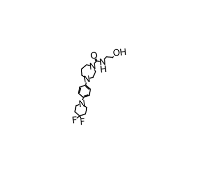 O=C(NCCO)N1CCCN(c2ccc(N3CCC(F)(F)CC3)cc2)CC1